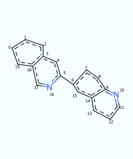 c1ccc2cc(-c3ccc4ncccc4c3)ncc2c1